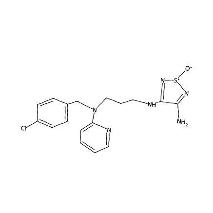 Nc1n[s+]([O-])nc1NCCCN(Cc1ccc(Cl)cc1)c1ccccn1